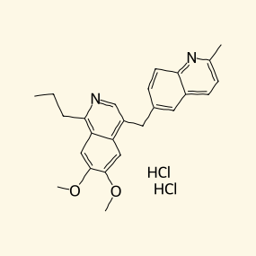 CCCc1ncc(Cc2ccc3nc(C)ccc3c2)c2cc(OC)c(OC)cc12.Cl.Cl